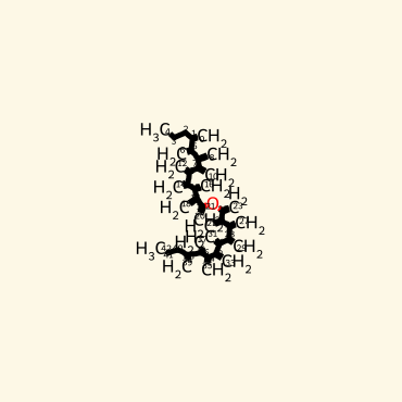 C=C(CCC)C(=C)C(=C)C(=C)C(=C)C(=C)C(=C)C(=C)C(=C)OC(=C)C(=C)C(=C)C(=C)C(=C)C(=C)C(=C)C(=C)C(=C)CCC